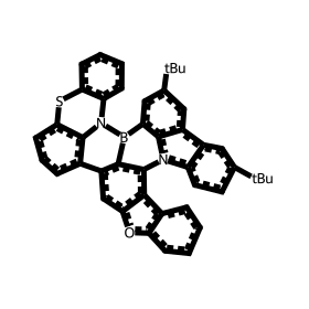 CC(C)(C)c1ccc2c(c1)c1cc(C(C)(C)C)cc3c1n2-c1c2c(cc4oc5ccccc5c14)-c1cccc4c1N(B23)c1ccccc1S4